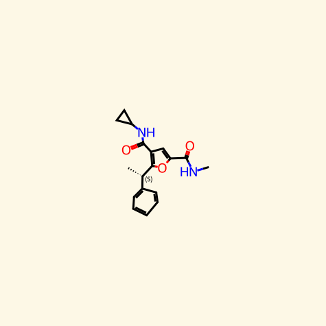 CNC(=O)c1cc(C(=O)NC2CC2)c([C@@H](C)c2ccccc2)o1